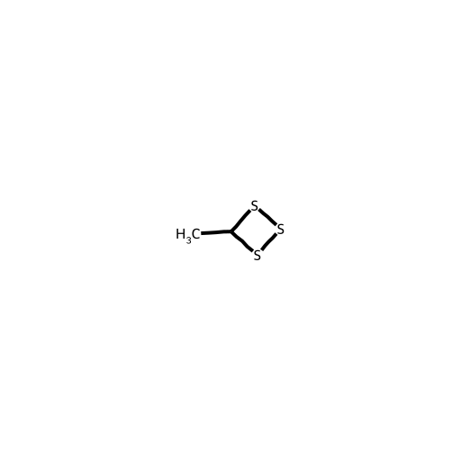 CC1SSS1